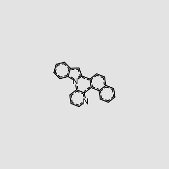 c1ccc2c(c1)ccc1c2c2ncccc2n2c3ccccc3cc12